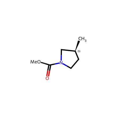 COC(=O)N1CC[C@H](C)C1